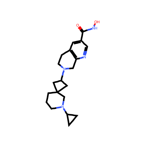 O=C(NO)c1cnc2c(c1)CCN(C1CC3(CCCN(C4CC4)C3)C1)C2